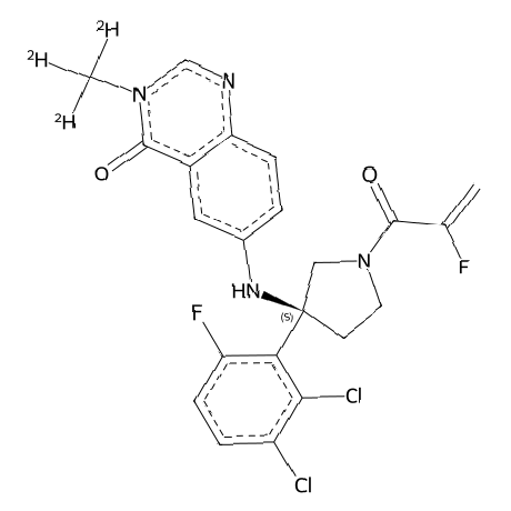 [2H]C([2H])([2H])n1cnc2ccc(N[C@]3(c4c(F)ccc(Cl)c4Cl)CCN(C(=O)C(=C)F)C3)cc2c1=O